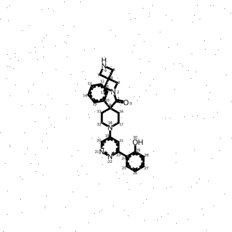 O=C(N1CC2(CNC2)C1)C1(c2ccccc2)CCN(c2cnnc(-c3ccccc3O)c2)CC1